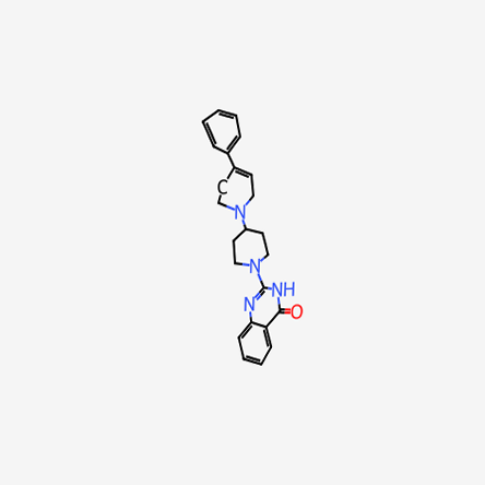 O=c1[nH]c(N2CCC(N3CC=C(c4ccccc4)CC3)CC2)nc2ccccc12